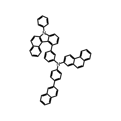 c1ccc(-n2c3cccc(-c4cccc(N(c5ccc(-c6ccc7ccccc7c6)cc5)c5ccc6c(ccc7ccccc76)c5)c4)c3c3c4ccccc4ccc32)cc1